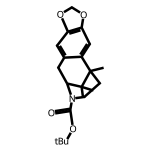 CC(C)(C)OC(=O)N1CCC2(C)c3cc4c(cc3CC1C2(C)C)OCO4